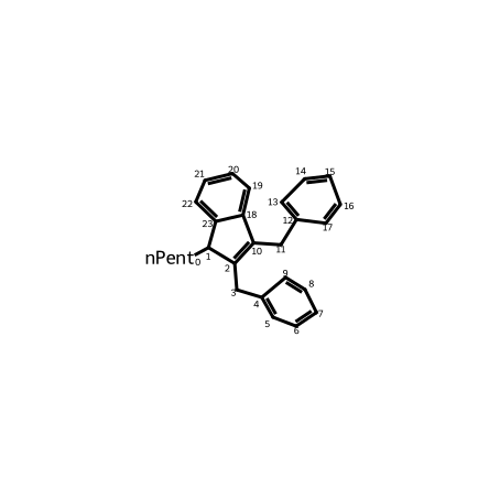 CCCCCC1C(Cc2ccccc2)=C(Cc2ccccc2)c2ccccc21